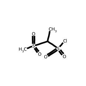 CC(S(C)(=O)=O)S(=O)(=O)Cl